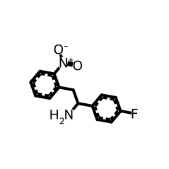 NC(Cc1ccccc1[N+](=O)[O-])c1ccc(F)cc1